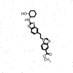 COC(=O)c1ccc2c(c1)ncn2CCc1ccc2nc(N[C@@H]3CCCC[C@H]3O)sc2c1